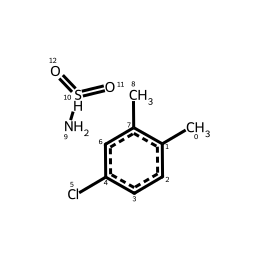 Cc1ccc(Cl)cc1C.N[SH](=O)=O